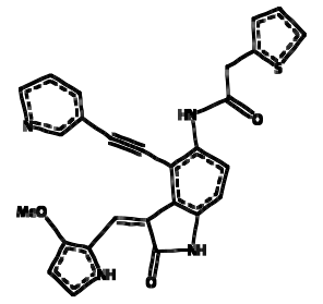 COc1cc[nH]c1C=C1C(=O)Nc2ccc(NC(=O)Cc3cccs3)c(C#Cc3cccnc3)c21